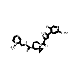 COc1cc(-c2cc(C(=O)N3CC[C@H](C(=O)NCC4C=NC=CN4C)CC34CC4)n[nH]2)c(F)cn1